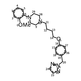 COc1ccccc1N1CCN(CCCCOc2ccc(Cn3nccn3)cc2)CC1